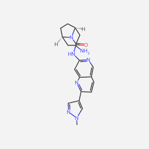 Cn1cc(-c2ccc3cnc(NC(=O)N4[C@@H]5CC[C@H]4CC(N)C5)cc3n2)cn1